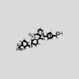 Nc1nccn2c(C34CCC(CO)(CC3)OC4)nc(-c3ccc(Oc4cccc(C(F)(F)F)c4F)cc3)c12